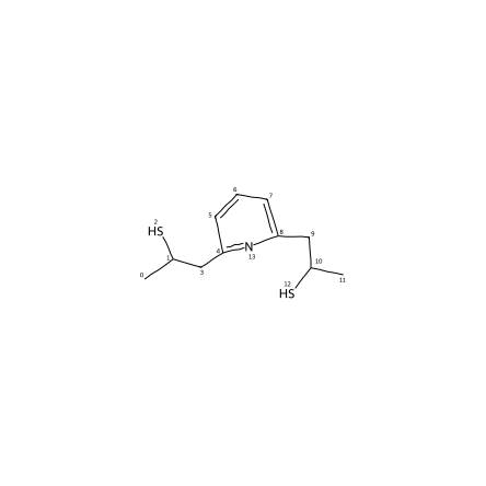 CC(S)Cc1cccc(CC(C)S)n1